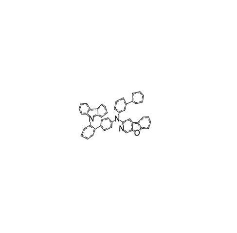 c1ccc(-c2cccc(N(c3ccc(-c4ccccc4-n4c5ccccc5c5ccccc54)cc3)c3cc4c(cn3)oc3ccccc34)c2)cc1